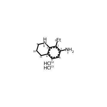 CCc1c(N)ccc2c1NCCC2.Cl.Cl